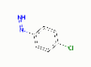 N=Nc1ccc(Cl)cc1